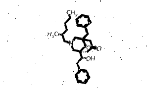 CCCCC(C)CN1CC2(Cc3ccccc3)CC(=O)C[C@]([C@@H](O)Cc3ccccc3)(C1)C2O